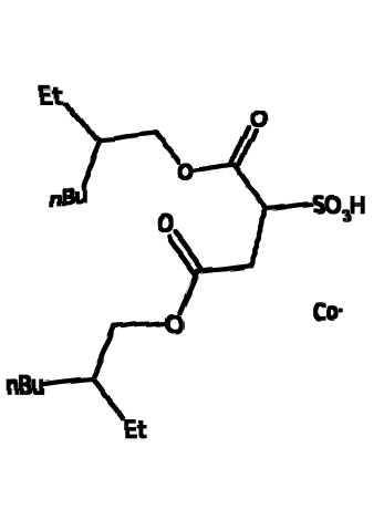 CCCCC(CC)COC(=O)CC(C(=O)OCC(CC)CCCC)S(=O)(=O)O.[Co]